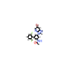 CC(=O)Nc1cc(-c2c(F)cccc2F)cc(-n2cnc3cc(Br)cnc32)c1